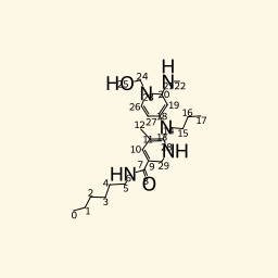 CCCCCCNC(=O)C1=CC(C)=C(N(CCC)C2=CC(NC)N(CO)C=C2)NC1